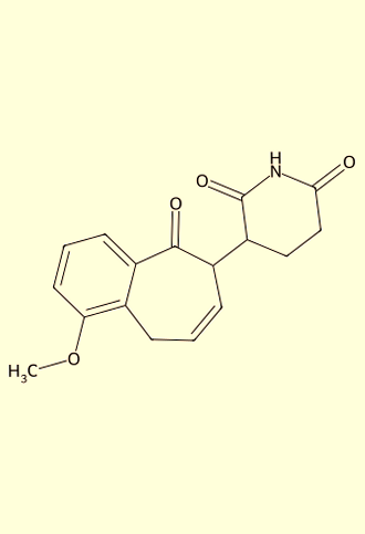 COc1cccc2c1CC=CC(C1CCC(=O)NC1=O)C2=O